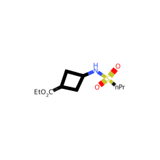 CCCS(=O)(=O)NC1CC(C(=O)OCC)C1